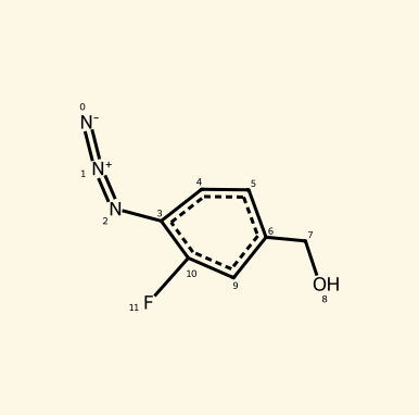 [N-]=[N+]=Nc1ccc(CO)cc1F